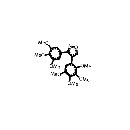 COc1cc(-c2nocc2-c2cc(OC)c(OC)c(OC)c2OC)cc(OC)c1OC